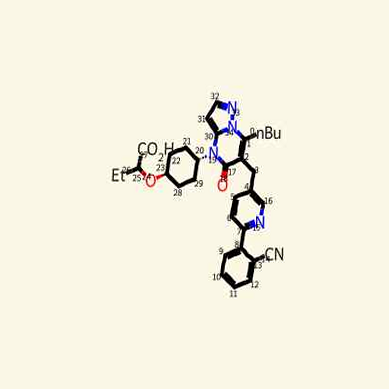 CCCCc1c(Cc2ccc(-c3ccccc3C#N)nc2)c(=O)n([C@H]2CC[C@H](OC(CC)C(=O)O)CC2)c2ccnn12